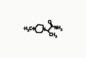 [CH2]N1CCN(C(C)C(N)=O)CC1